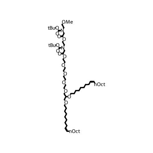 CCCCCCCC/C=C\CCCCCCCCOCC(COCCOCCOCCOCCOC(=O)CN(CCOC(=O)CN(CCOC)C(=O)OC(C)(C)C)C(=O)OC(C)(C)C)OCCCCCCCC/C=C\CCCCCCCC